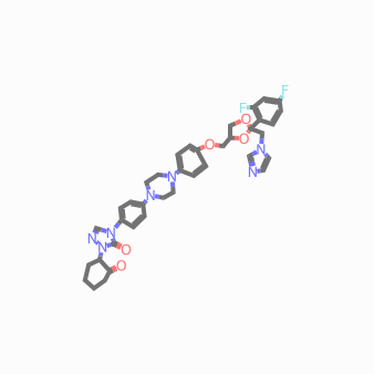 O=C1CCCCC1n1ncn(-c2ccc(N3CCN(c4ccc(OCC5COC(Cn6ccnc6)(c6ccc(F)cc6F)O5)cc4)CC3)cc2)c1=O